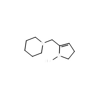 CN1CCC=C1CN1CCCCC1